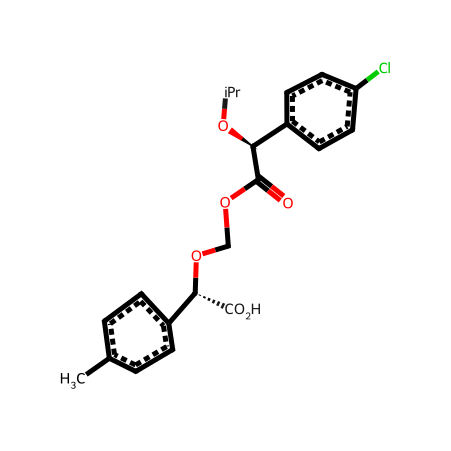 Cc1ccc([C@H](OCOC(=O)[C@@H](OC(C)C)c2ccc(Cl)cc2)C(=O)O)cc1